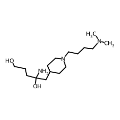 CN(C)CCCCN1CCC(CC(N)(O)CCCO)CC1